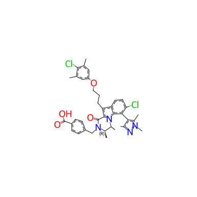 Cc1cc(OCCCc2c3n(c4c(-c5c(C)nn(C)c5C)c(Cl)ccc24)C(C)[C@@H](C)N(Cc2ccc(C(=O)O)cc2)C3=O)cc(C)c1Cl